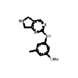 COc1cc(C)cc(Nc2ncc3c(n2)CNC3)c1